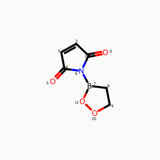 O=C1C=CC(=O)N1B1CCOO1